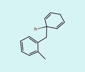 Cc1ccccc1CC1(Br)C=C[CH]C=C1